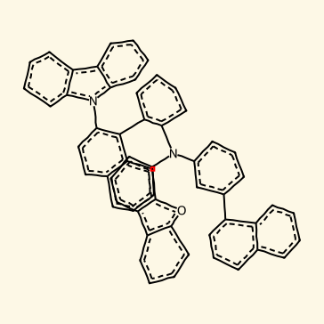 c1cc(-c2cccc3ccccc23)cc(N(c2ccccc2-c2c(-n3c4ccccc4c4ccccc43)ccc3ccccc23)c2cccc3c2oc2ccccc23)c1